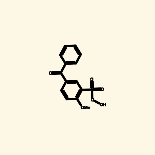 COc1ccc(C(=O)c2ccccc2)cc1S(=O)(=O)OO